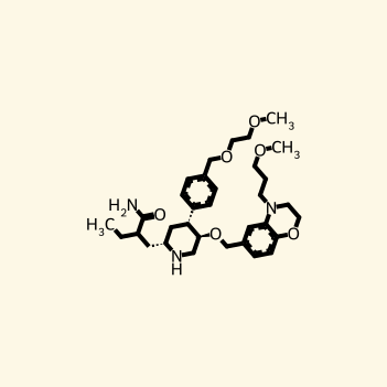 CCC(C[C@@H]1C[C@H](c2ccc(COCCOC)cc2)[C@@H](OCc2ccc3c(c2)N(CCCOC)CCO3)CN1)C(N)=O